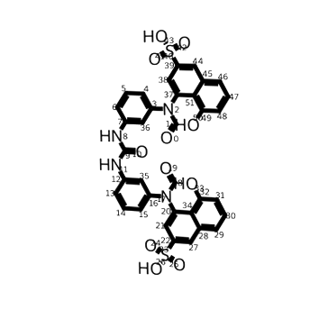 O=CN(c1cccc(NC(=O)Nc2cccc(N(C=O)c3cc(S(=O)(=O)O)cc4cccc(O)c34)c2)c1)c1cc(S(=O)(=O)O)cc2cccc(O)c12